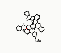 CC(C)(C)c1ccc(N2c3cc4c(cc3B3c5c(cc6ccccc6c52)-c2cccc5c6c7ccccc7sc6n3c25)Sc2ccccc2S4)c(-c2ccccc2)c1